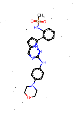 CS(=O)(=O)Nc1ccccc1-c1ccc2cnc(Nc3ccc(N4CCOCC4)cc3)nn12